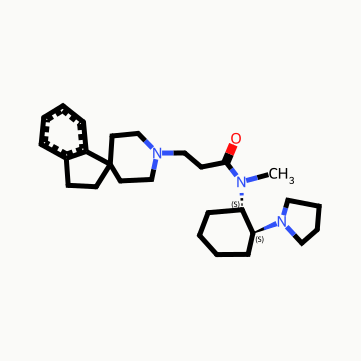 CN(C(=O)CCN1CCC2(CCc3ccccc32)CC1)[C@H]1CCCC[C@@H]1N1CCCC1